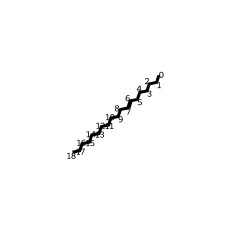 CCCCCCC=CCCCCCCCCCCC